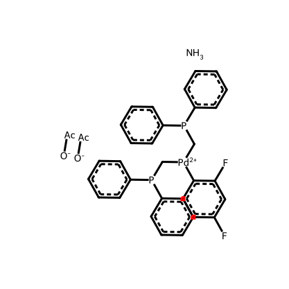 CC(=O)[O-].CC(=O)[O-].Fc1cc[c]([Pd+2]([CH2]P(c2ccccc2)c2ccccc2)[CH2]P(c2ccccc2)c2ccccc2)c(F)c1.N